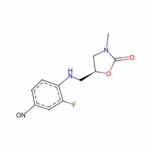 CN1C[C@H](CNc2ccc(N=O)cc2F)OC1=O